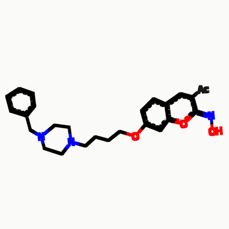 CC(=O)c1cc2ccc(OCCCCN3CCN(Cc4ccccc4)CC3)cc2oc1=NO